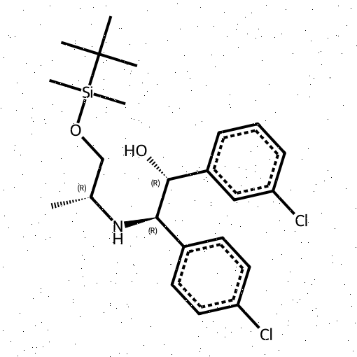 C[C@H](CO[Si](C)(C)C(C)(C)C)N[C@H](c1ccc(Cl)cc1)[C@H](O)c1cccc(Cl)c1